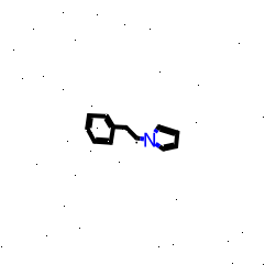 [CH](Cc1ccccc1)n1cccc1